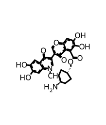 Cn1cc(-c2coc3cc(O)c(O)c(C(=O)OC[C@H]4CC[C@H](N)CC4)c3c2=O)c(=O)c2cc(O)c(O)cc21